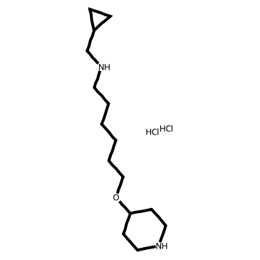 C(CCCOC1CCNCC1)CCNCC1CC1.Cl.Cl